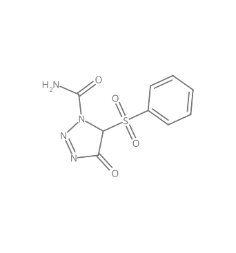 NC(=O)N1N=NC(=O)C1S(=O)(=O)c1ccccc1